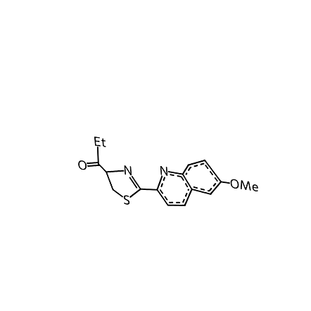 CCC(=O)C1CSC(c2ccc3cc(OC)ccc3n2)=N1